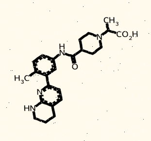 Cc1ccc(NC(=O)C2CCN(C(C)C(=O)O)CC2)cc1-c1ccc2c(n1)NCCC2